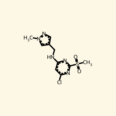 Cn1cc(CNc2cc(Cl)nc(S(C)(=O)=O)n2)cn1